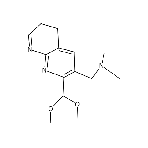 COC(OC)c1nc2c(cc1CN(C)C)CCC=N2